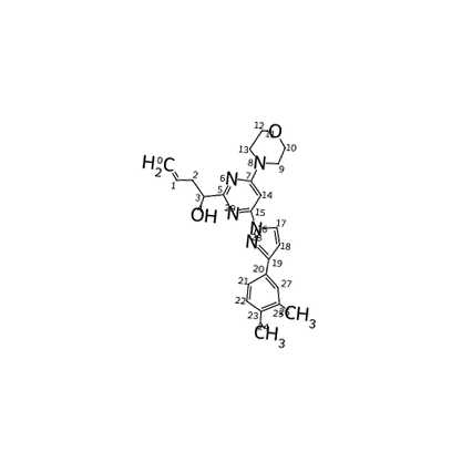 C=CCC(O)c1nc(N2CCOCC2)cc(-n2ccc(-c3ccc(C)c(C)c3)n2)n1